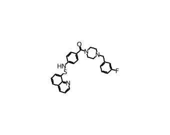 O=C(c1ccc(NSc2cccc3cccnc23)cc1)N1CCN(Cc2cccc(F)c2)CC1